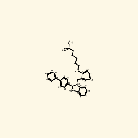 O=C(O)CCCCCOc1ccccc1Cn1c(-c2ccc(-c3ccccc3)cc2)nc2ccccc21